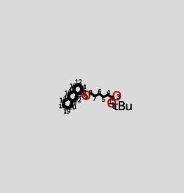 CC(C)(C)OC(=O)CCCCCOc1cccc2cc3ccccc3cc12